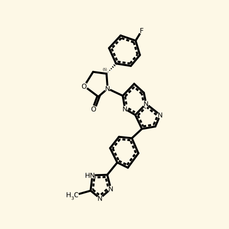 Cc1nnc(-c2ccc(-c3cnn4ccc(N5C(=O)OC[C@@H]5c5ccc(F)cc5)nc34)cc2)[nH]1